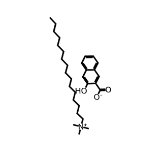 CCCCCCCCCCCCCCCC[N+](C)(C)C.O=C([O-])c1cc2ccccc2cc1O